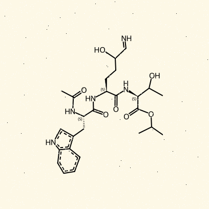 CC(=O)N[C@@H](Cc1c[nH]c2ccccc12)C(=O)N[C@@H](CCC(O)C=N)C(=O)N[C@H](C(=O)OC(C)C)C(C)O